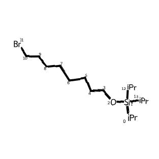 CC(C)[Si](OCCCCCCCCBr)(C(C)C)C(C)C